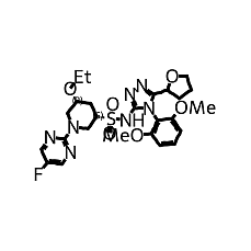 CCO[C@@H]1C[C@H](S(=O)(=O)Nc2nnc(C3CCCO3)n2-c2c(OC)cccc2OC)CN(c2ncc(F)cn2)C1